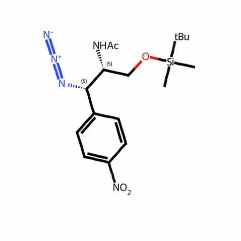 CC(=O)N[C@H](CO[Si](C)(C)C(C)(C)C)[C@@H](N=[N+]=[N-])c1ccc([N+](=O)[O-])cc1